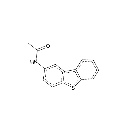 CC(=O)Nc1ccc2sc3ccccc3c2c1